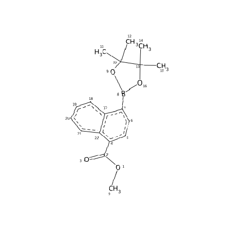 COC(=O)c1ccc(B2OC(C)(C)C(C)(C)O2)c2ccccc12